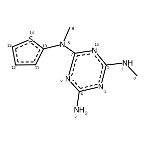 CNc1nc(N)nc(N(C)c2cccs2)n1